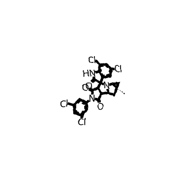 C[C@]12CC3C4C(=O)N(c5cc(Cl)cc(Cl)c5)C(=O)C4C4(C(=O)Nc5c(Cl)cc(Cl)cc54)N3C1C2